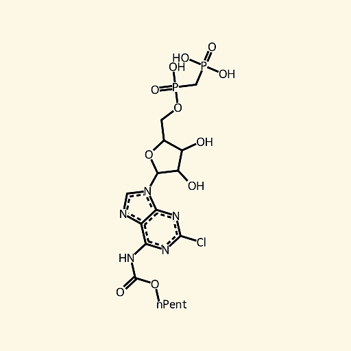 CCCCCOC(=O)Nc1nc(Cl)nc2c1ncn2C1OC(COP(=O)(O)CP(=O)(O)O)C(O)C1O